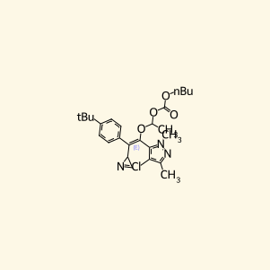 CCCCOC(=O)OC(C)O/C(=C(\c1ccc(C(C)(C)C)cc1)C1C=N1)c1c(Cl)c(C)nn1C